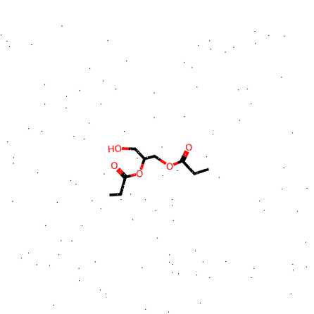 CCC(=O)OCC(CO)OC(=O)CC